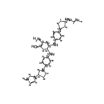 C/N=C/NC1CCN(c2ccc(NC3=NC(N)=C(O)CC3Nc3ccc(N4CCC(N5C=CN(C)C5)C4)cc3)cc2)C1